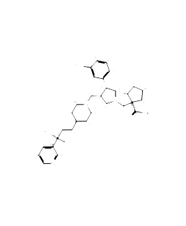 O=C(O)C1(CN2C[C@@H](CN3CCC(CCC(F)(F)c4cccnc4)CC3)[C@@H](c3cccc(F)c3)C2)CCCC1